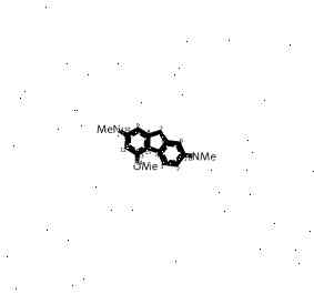 CNc1ccc2c(c1)[CH]c1cc(NC)cc(OC)c1-2